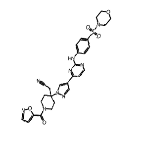 N#CCC1(n2cc(-c3ccnc(Nc4ccc(S(=O)(=O)N5CCOCC5)cc4)n3)cn2)CCN(C(=O)c2ccno2)CC1